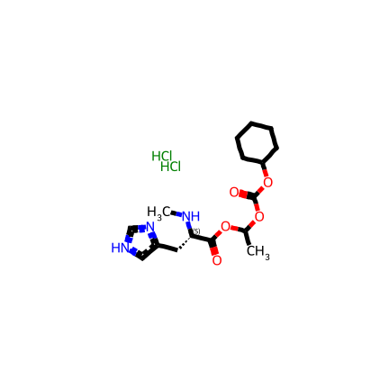 CN[C@@H](Cc1c[nH]cn1)C(=O)OC(C)OC(=O)OC1CCCCC1.Cl.Cl